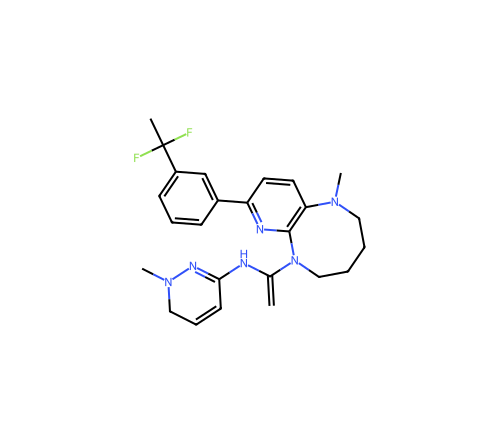 C=C(NC1=NN(C)CC=C1)N1CCCCN(C)c2ccc(-c3cccc(C(C)(F)F)c3)nc21